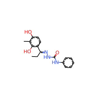 CC/C(=N\NC(=O)Nc1ccccc1)c1ccc(O)c(C)c1O